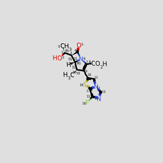 C[C@@H](O)[C@H]1C(=O)N2C(C(=O)O)=C(c3cn4cnc(F)c4s3)[C@H](C)[C@H]12